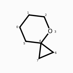 [CH]1CCOC2(C1)CC2